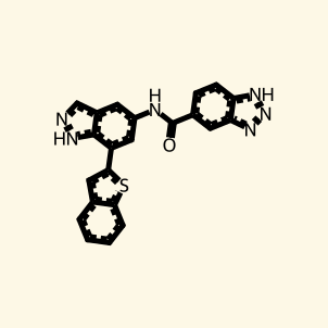 O=C(Nc1cc(-c2cc3ccccc3s2)c2[nH]ncc2c1)c1ccc2[nH]nnc2c1